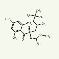 COC(C)OP(=O)(CC(C)CC(C)(C)C)C(=O)c1c(C)cc(C)cc1C